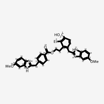 CCc1c(C(=O)O)ccc(Cc2nc3cc(OC)ccc3[nH]2)c1CCOC(=O)c1ccc(Cc2nc3ccc(OC)cc3[nH]2)cc1